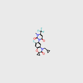 Cn1c(C(F)(F)F)cc(=O)n(-c2cc3c(cc2F)OC2(CC2)C(=O)N3CC2CC2)c1=O